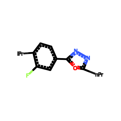 CCCc1nnc(-c2ccc(C(C)C)c(F)c2)o1